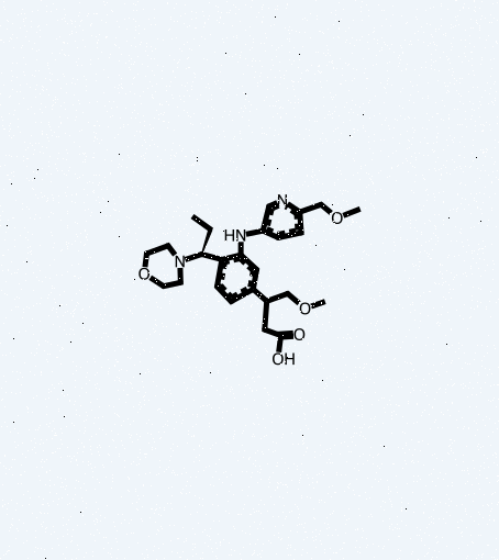 CC[C@@H](c1ccc(C(COC)CC(=O)O)cc1Nc1ccc(COC)nc1)N1CCOCC1